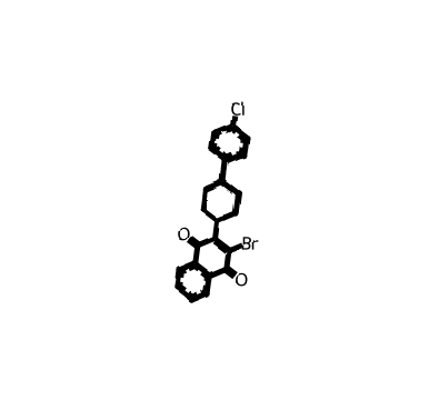 O=C1C(Br)=C(C2CCC(c3ccc(Cl)cc3)CC2)C(=O)c2ccccc21